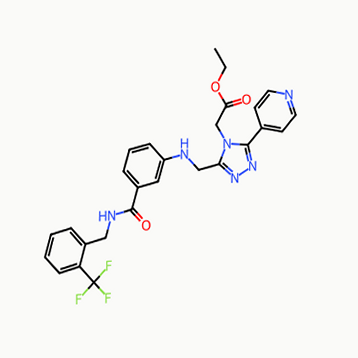 CCOC(=O)Cn1c(CNc2cccc(C(=O)NCc3ccccc3C(F)(F)F)c2)nnc1-c1ccncc1